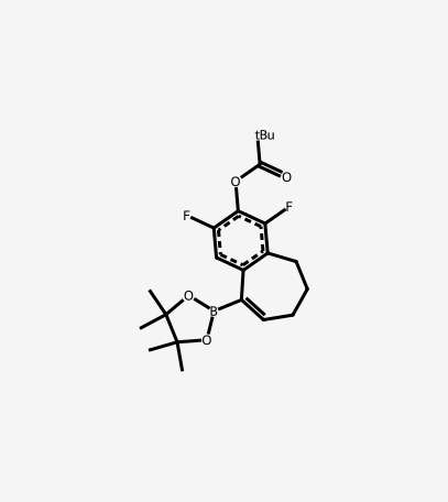 CC(C)(C)C(=O)Oc1c(F)cc2c(c1F)CCCC=C2B1OC(C)(C)C(C)(C)O1